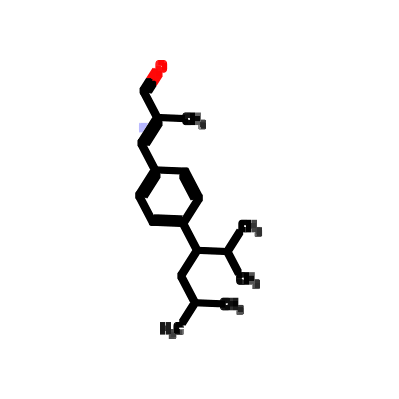 C/C(C=O)=C\c1ccc(C(CC(C)C)C(C)C)cc1